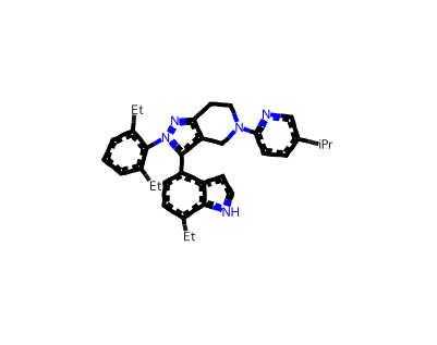 CCc1cccc(CC)c1-n1nc2c(c1-c1ccc(CC)c3[nH]ccc13)CN(c1ccc(C(C)C)cn1)CC2